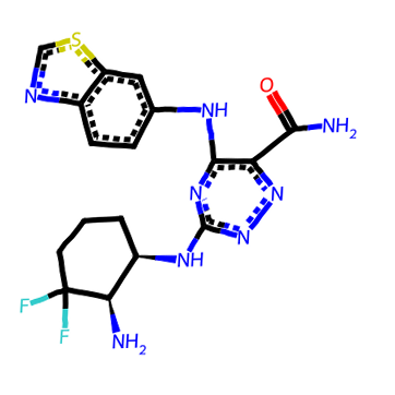 NC(=O)c1nnc(N[C@@H]2CCCC(F)(F)[C@@H]2N)nc1Nc1ccc2ncsc2c1